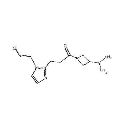 CN(C)C1CN(C(=O)CCc2nccn2CCCl)C1